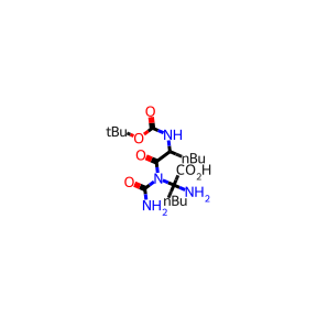 CCCCC(NC(=O)OC(C)(C)C)C(=O)N(C(N)=O)C(N)(CCCC)C(=O)O